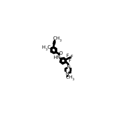 CC#Cc1cc(C(=O)Nc2ccc(CN3CCN(C)CC3)c(C(F)(F)F)c2)ccc1C